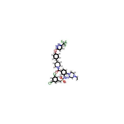 CCN1CCN(c2ccc(C(=O)N3CCC(c4ccc(Oc5ccc(C(F)(F)F)nn5)cc4)CC3)cc2NS(=O)(=O)Cc2cc(Cl)cc(Cl)c2)CC1